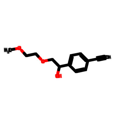 C#Cc1ccc(C(O)COCCOC)cc1